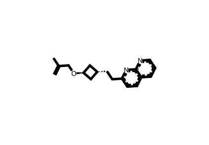 C=C(C)CO[C@H]1C[C@H](CCc2ccc3cccnc3n2)C1